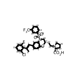 C/C(=C\c1ccc2c(c1)N(S(=O)(=O)c1cccc(C(F)(F)F)c1)C[C@H](CCN1CCC[C@H]1C(=O)O)O2)c1c(F)cccc1Cl